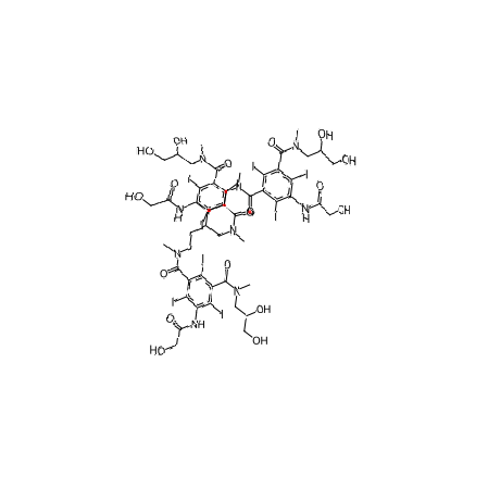 CN(CCCC(CCN(C)C(=O)c1c(I)c(NC(=O)CO)c(I)c(C(=O)N(C)CC(O)CO)c1I)CN(C)C(=O)c1c(I)c(NC(=O)CO)c(I)c(C(=O)N(C)CC(O)CO)c1I)C(=O)c1c(I)c(NC(=O)CO)c(I)c(C(=O)N(C)CC(O)CO)c1I